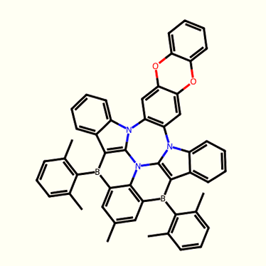 Cc1cc2c3c(c1)B(c1c(C)cccc1C)c1c4ccccc4n4c5cc6oc7ccccc7oc6cc5n5c6ccccc6c(c5n-3c14)B2c1c(C)cccc1C